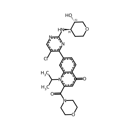 CC(C)n1c(C(=O)N2CCOCC2)cc(=O)c2ccc(-c3nc(N[C@@H]4CCOC[C@H]4O)ncc3Cl)cc21